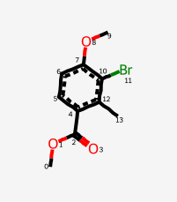 COC(=O)c1ccc(OC)c(Br)c1C